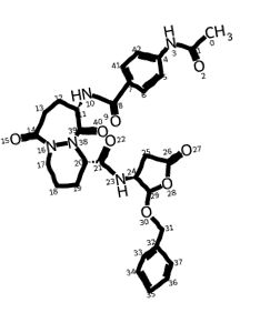 CC(=O)Nc1ccc(C(=O)N[C@H]2CCC(=O)N3CCC[C@@H](C(=O)N[C@H]4CC(=O)OC4OCc4ccccc4)N3C2=O)cc1